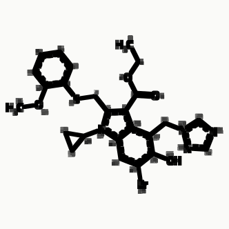 CCOC(=O)c1c(CSc2ccccc2OC)n(C2CC2)c2cc(Br)c(O)c(Cn3cncn3)c12